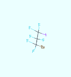 FC(F)(Br)C(F)(F)C(F)(F)I